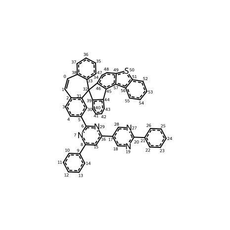 C1=Cc2ccc(-c3nc(-c4ccccc4)cc(-c4cnc(-c5ccccc5)nc4)n3)cc2C2(c3ccccc31)c1ccccc1-c1c2ccc2sc3ccccc3c12